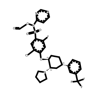 O=CON(c1ccncn1)S(=O)(=O)c1cc(Cl)c(O[C@H]2CC[C@H](c3cccc(C(F)(F)F)c3)C[C@@H]2N2CCCC2)cc1F